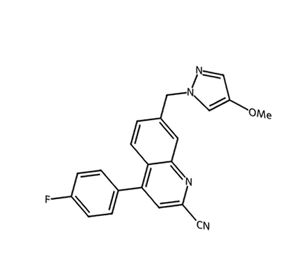 COc1cnn(Cc2ccc3c(-c4ccc(F)cc4)cc(C#N)nc3c2)c1